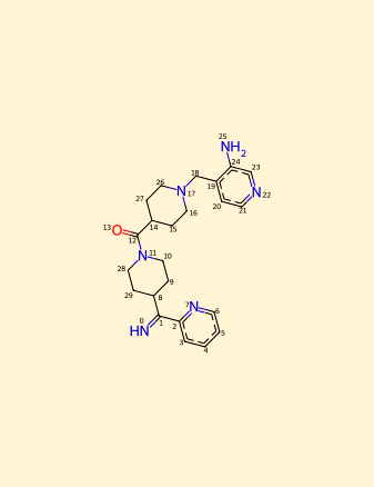 N=C(c1ccccn1)C1CCN(C(=O)C2CCN(Cc3ccncc3N)CC2)CC1